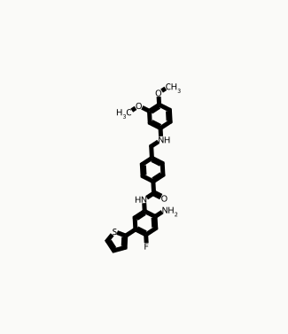 COc1ccc(NCc2ccc(C(=O)Nc3cc(-c4cccs4)c(F)cc3N)cc2)cc1OC